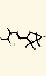 CC(O)C(C)C=CC1CC2CC2(C)C1(C)C